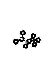 C/C(=C\C(=C/Cc1ccccc1)n1c2ccccc2c2cc3c(cc21)-c1ccccc1C3(c1ccccc1)c1ccccc1)c1ccccc1